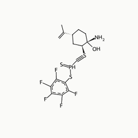 C=C(C)[C@@H]1CC[C@](N)(O)[C@@H](S#C[PH](=S)Sc2c(F)c(F)c(F)c(F)c2F)C1